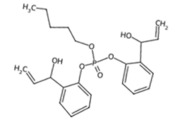 C=CC(O)c1ccccc1OP(=O)(OCCCCC)Oc1ccccc1C(O)C=C